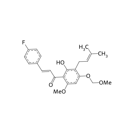 COCOc1cc(OC)c(C(=O)C=Cc2ccc(F)cc2)c(O)c1CC=C(C)C